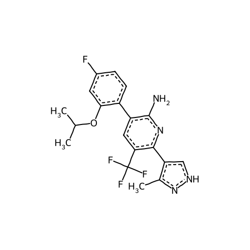 Cc1n[nH]cc1-c1nc(N)c(-c2ccc(F)cc2OC(C)C)cc1C(F)(F)F